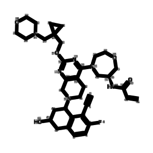 C#Cc1c(F)ccc2c1C(N1CCc3c(nc(OCC4(CN5CCOCC5)CC4)nc3N3CCOC[C@@H](NC(=O)C=C)C3)C1)CC(O)C2